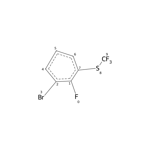 Fc1c(Br)cccc1SC(F)(F)F